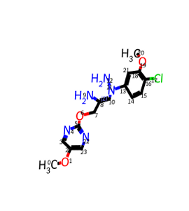 COc1cnc(OC/C(N)=C/N(N)c2ccc(Cl)c(OC)c2)nc1